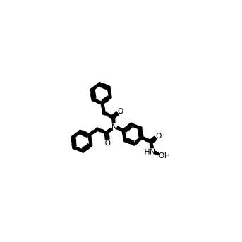 O=C(NO)c1ccc(N(C(=O)Cc2ccccc2)C(=O)Cc2ccccc2)cc1